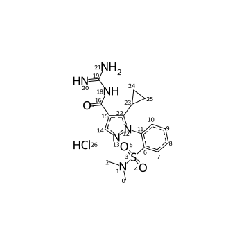 CN(C)S(=O)(=O)c1ccccc1-n1ncc(C(=O)NC(=N)N)c1C1CC1.Cl